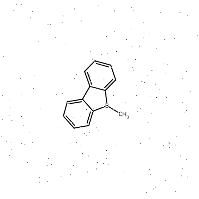 CB1c2ccccc2-c2ccccc21